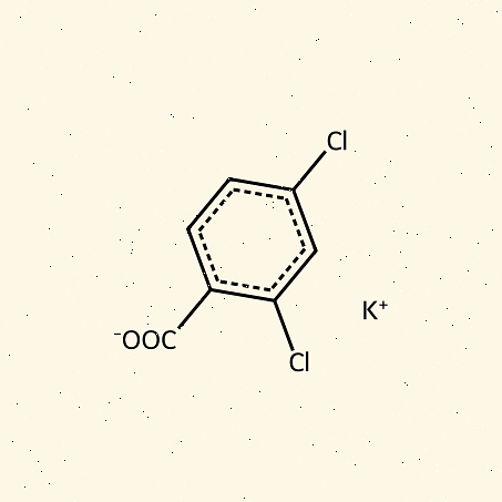 O=C([O-])c1ccc(Cl)cc1Cl.[K+]